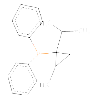 CC(C)C1(P(c2ccccc2)c2ccccc2)CC1C